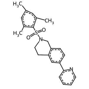 Cc1cc(C)c(S(=O)(=O)N2CCc3cc(-c4ccccn4)ccc3C2)c(C)c1